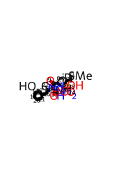 CSCCC(N[C@@H](CC(C)C)C(=O)N(C(N)=O)[C@@H](Cc1ccccc1)C(=O)O)P(=O)(O)O